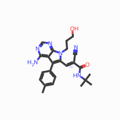 Cc1ccc(-c2c(/C=C(\C#N)C(=O)NC(C)(C)C)n(CCCO)c3ncnc(N)c23)cc1